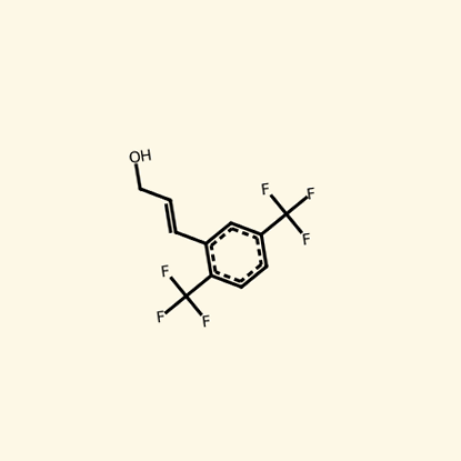 OCC=Cc1cc(C(F)(F)F)ccc1C(F)(F)F